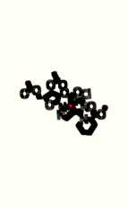 COC(=O)[C@H]1CCCCN1c1nc(Cl)nc2c1cnn2[C@@H]1O[C@H](COC(C)=O)[C@@H](OC(C)=O)[C@H]1OC(C)=O